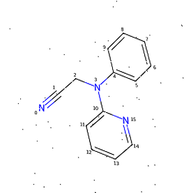 N#CCN(c1ccccc1)c1ccccn1